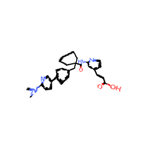 CN(C)c1ccc(-c2ccc(CC3(C(=O)Nc4cc(/C=C/C(=O)O)ccn4)CCCCC3)cc2)cn1